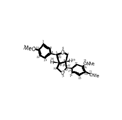 COc1ccc([C@H]2OC[C@H]3[C@@H]2CO[C@@H]3c2ccc(OC)c(OC)c2)cc1